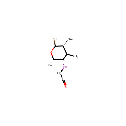 CC[C@H](C)C1OC(S)[C@H](OC(C)=O)C(C)[C@@H]1PBB=O